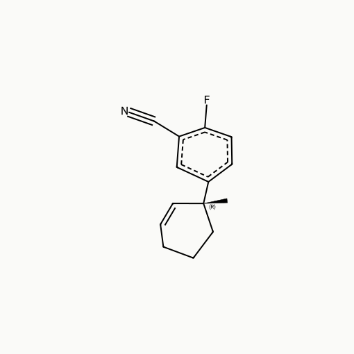 C[C@]1(c2ccc(F)c(C#N)c2)C=CCCC1